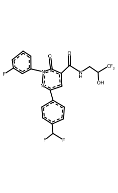 O=C(NCC(O)C(F)(F)F)c1cc(-c2ccc(C(F)F)cc2)nn(-c2cccc(F)c2)c1=O